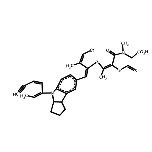 C#C/C=C\C(=C/C)N1c2ccc(/C=C(S/C(C)=C(/SC=S)C(=O)N(C)CC(=O)O)\C(C)=C/CC)cc2C2CCCC21